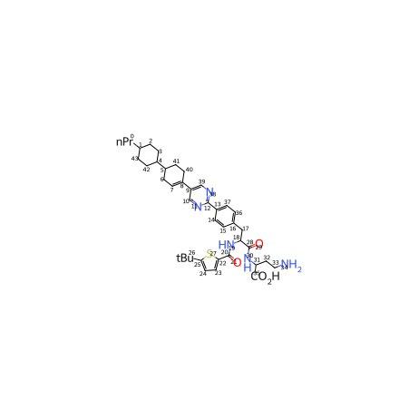 CCCC1CCC(C2CC=C(c3cnc(-c4ccc(CC(NC(=O)c5ccc(C(C)(C)C)s5)C(=O)NC(CCN)C(=O)O)cc4)nc3)CC2)CC1